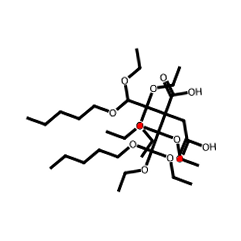 CCCCCOC(OCC)C(OCC)(OCC)C(CC(=O)O)(C(=O)O)C(OCC)(OCC)C(OCC)(OCC)OCCCCC